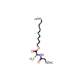 CCCCCCCCCCCCCCCCCCOC(=O)[C@H](C)NC(=O)CCCCCCCCCCC